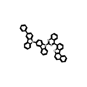 c1ccc(-c2ccc3c(c2)c2ccccc2n3-c2ccc3c(c2)c2ccccc2n3-c2nc(-c3cccc4c3oc3ccc5ccccc5c34)c3ccccc3n2)cc1